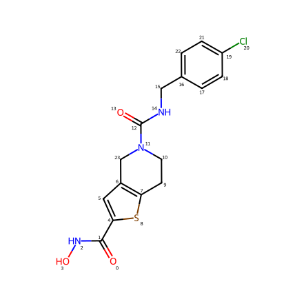 O=C(NO)c1cc2c(s1)CCN(C(=O)NCc1ccc(Cl)cc1)C2